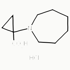 Cl.O=C(O)C1(N2CCCCCC2)CC1